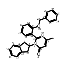 Cc1cc(=O)n(C2Cc3ccccc3C2)c(-c2ccccc2OCc2ccccc2)n1